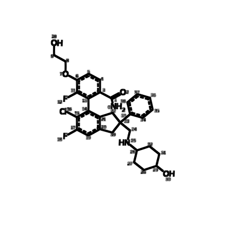 NC(=O)c1ccc(OCCO)c(F)c1-c1c(Cl)c(F)cc2c1CC(CNC1CCC(O)CC1)(c1ccccc1)C2